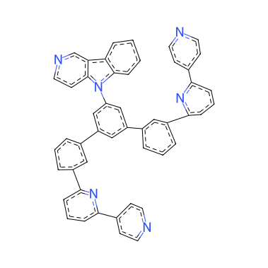 c1cc(-c2cc(-c3cccc(-c4cccc(-c5ccncc5)n4)c3)cc(-n3c4ccccc4c4cnccc43)c2)cc(-c2cccc(-c3ccncc3)n2)c1